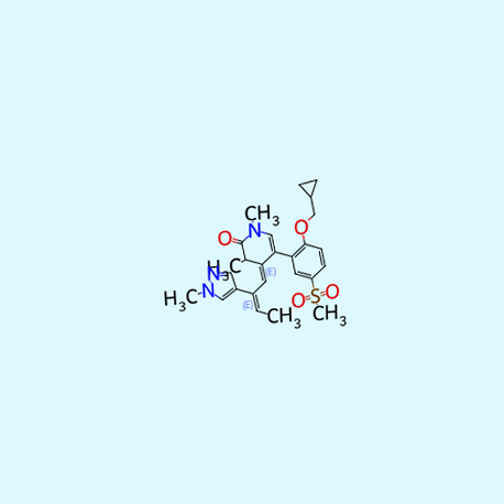 C/C=C(\C=C1\C(c2cc(S(C)(=O)=O)ccc2OCC2CC2)=CN(C)C(=O)C1C)c1cnn(C)c1